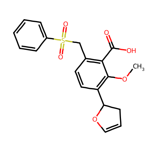 COc1c(C2CC=CO2)ccc(CS(=O)(=O)c2ccccc2)c1C(=O)O